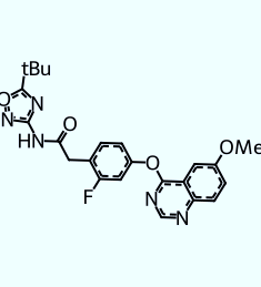 COc1ccc2ncnc(Oc3ccc(CC(=O)Nc4noc(C(C)(C)C)n4)c(F)c3)c2c1